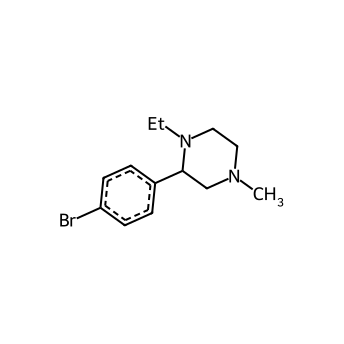 CCN1CCN(C)CC1c1ccc(Br)cc1